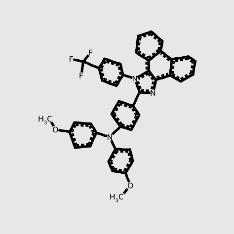 COc1ccc(N(c2ccc(OC)cc2)c2ccc(-c3nc4c5ccccc5c5ccccc5c4n3-c3ccc(C(F)(F)F)cc3)cc2)cc1